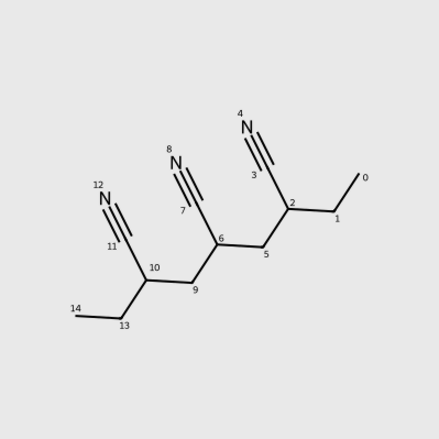 CCC(C#N)CC(C#N)CC(C#N)CC